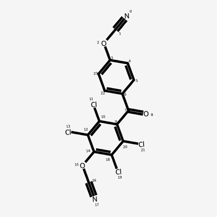 N#COc1ccc(C(=O)c2c(Cl)c(Cl)c(OC#N)c(Cl)c2Cl)cc1